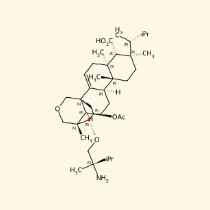 CC(=O)O[C@@H]1C[C@]23COC[C@](C)([C@@H]2CC[C@H]2C3=CC[C@@]3(C)[C@H](C(=O)O)[C@@](C)([C@H](C)C(C)C)CC[C@]23C)[C@H]1OC[C@@](C)(N)C(C)C